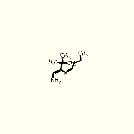 CCC/C=N\C(=C/N)C(C)(C)C